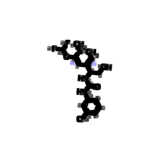 C=N/C(=C\C(=C/C)C(CO)NC(=O)Nc1cccc(Cl)c1)OC(F)F